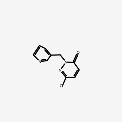 O=c1ccc(Cl)nn1Cc1cccnc1